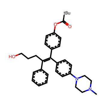 CN1CCN(c2ccc(/C(=C(/CCCO)c3ccccc3)c3ccc(OC(=O)C(C)(C)C)cc3)cc2)CC1